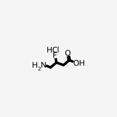 Cl.NCC(F)CC(=O)O